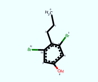 CCCc1c(Br)cc(O)cc1Br